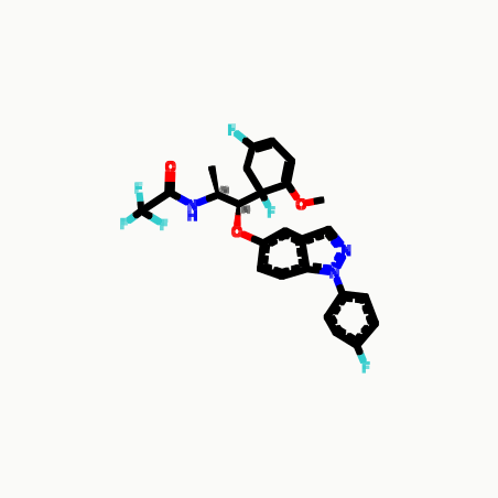 COC1=CC=C(F)CC1(F)[C@@H](Oc1ccc2c(cnn2-c2ccc(F)cc2)c1)[C@H](C)NC(=O)C(F)(F)F